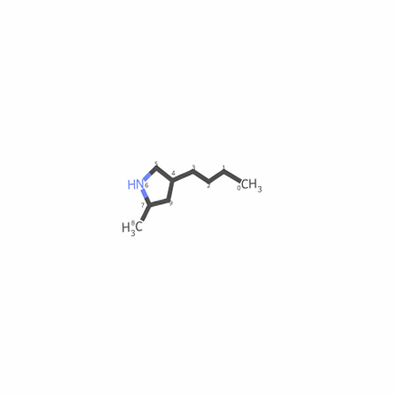 CCCCC1CNC(C)C1